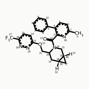 Cc1ccc(-c2ccccc2)c(C(=O)N2C[C@@H]3C[C@@H]3CC2COc2ccc(C(F)(F)F)nn2)n1